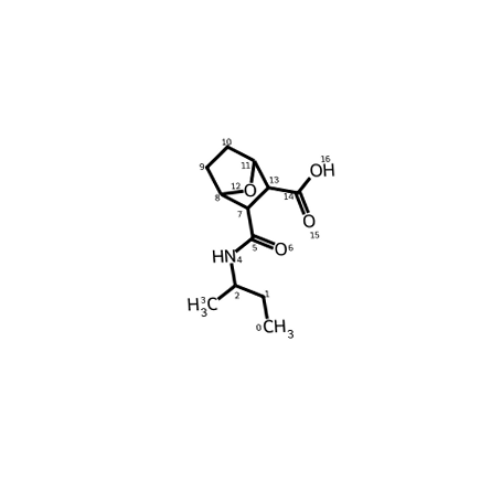 CCC(C)NC(=O)C1C2CCC(O2)C1C(=O)O